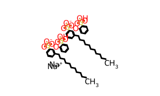 CCCCCCCCCCCCc1cccc(S(=O)(=O)[O-])c1Oc1ccccc1S(=O)(=O)O.CCCCCCCCCCCCc1cccc(S(=O)(=O)[O-])c1Oc1ccccc1S(=O)(=O)O.[Na+].[Na+]